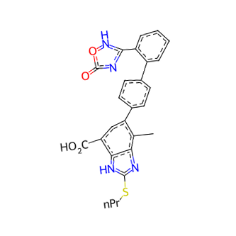 CCCSc1nc2c(C)c(-c3ccc(-c4ccccc4-c4nc(=O)o[nH]4)cc3)cc(C(=O)O)c2[nH]1